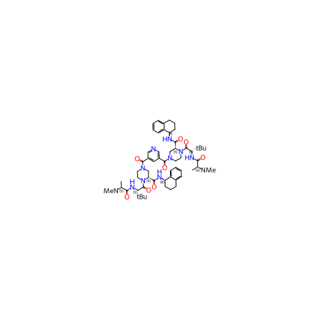 CN[C@@H](C)C(=O)N[C@H](C(=O)N1CCN(C(=O)c2cncc(C(=O)N3CCN(C(=O)[C@@H](NC(=O)[C@H](C)NC)C(C)(C)C)[C@H](C(=O)N[C@@H]4CCCc5ccccc54)C3)c2)C[C@H]1C(=O)N[C@@H]1CCCc2ccccc21)C(C)(C)C